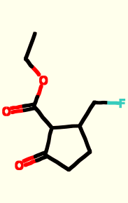 CCOC(=O)C1C(=O)CCC1CF